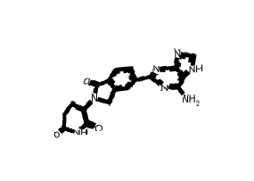 Nc1nc(-c2ccc3c(c2)CN(C2CCC(=O)NC2=O)C3=O)nc2nc[nH]c12